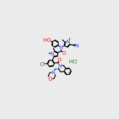 Cc1c(N(C(=O)c2cc(-c3cc(Cl)ccc3C(=O)N3Cc4ccccc4C[C@H]3CN3CCOCC3)n(C)c2C)c2ccc(O)cc2)cc(C#N)n1C.Cl